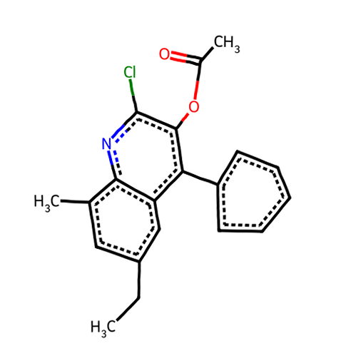 CCc1cc(C)c2nc(Cl)c(OC(C)=O)c(-c3ccccc3)c2c1